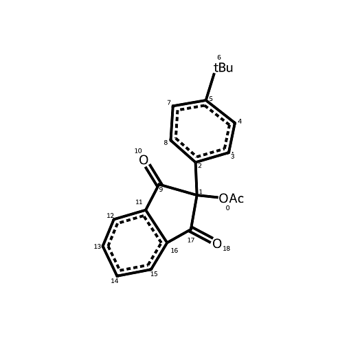 CC(=O)OC1(c2[c]cc(C(C)(C)C)cc2)C(=O)c2ccccc2C1=O